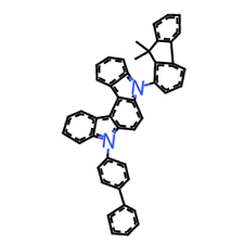 CC1(C)c2ccccc2-c2cccc(-n3c4ccccc4c4c5c6ccccc6n(-c6ccc(-c7ccccc7)cc6)c5ccc43)c21